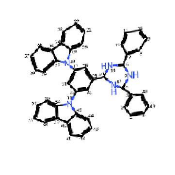 c1ccc(C2NC(c3ccccc3)NC(c3cc(-n4c5ccccc5c5ccccc54)cc(-n4c5ccccc5c5ccccc54)c3)N2)cc1